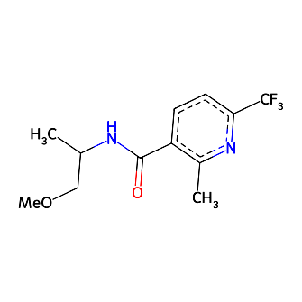 COCC(C)NC(=O)c1ccc(C(F)(F)F)nc1C